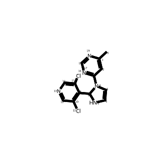 Cc1cc(N2C=CNC2c2c(Cl)cncc2Cl)ncn1